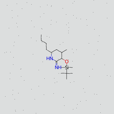 CCCCC1CC(C)C(O[Si](C)(C)C(C)(C)C)C(=N)N1